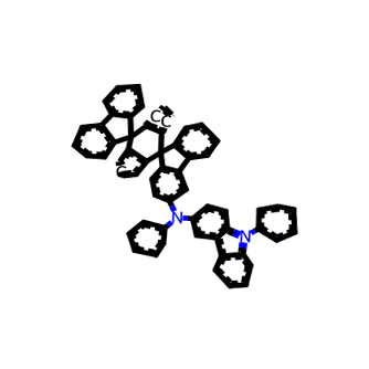 c1ccc(N(c2ccc3c(c2)-c2ccccc2C32c3ccccc3C3(c4ccccc4-c4ccccc43)c3ccccc32)c2ccc3c(c2)c2ccccc2n3-c2ccccc2)cc1